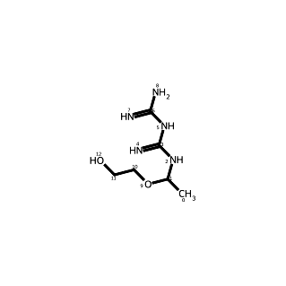 CC(NC(=N)NC(=N)N)OCCO